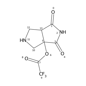 O=C1NC(=O)C2(OC(=O)C(F)(F)F)CNCC12